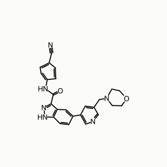 N#Cc1ccc(NC(=O)c2n[nH]c3ccc(-c4cncc(CN5CCOCC5)c4)cc23)cc1